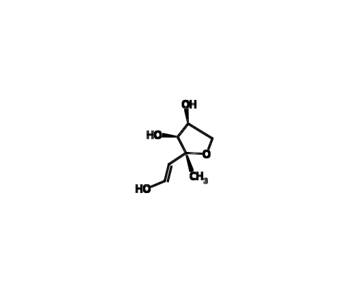 C[C@]1(/C=C/O)OC[C@H](O)[C@@H]1O